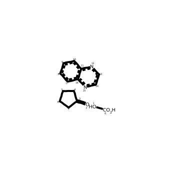 O=C(O)O.O=C1CCCC1.c1ccc2nccnc2c1